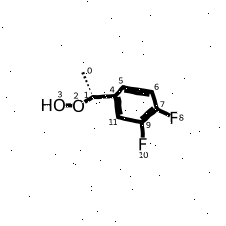 C[C@@H](OO)c1ccc(F)c(F)c1